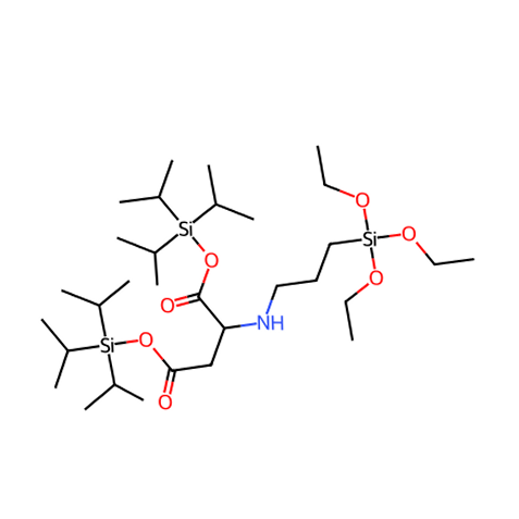 CCO[Si](CCCNC(CC(=O)O[Si](C(C)C)(C(C)C)C(C)C)C(=O)O[Si](C(C)C)(C(C)C)C(C)C)(OCC)OCC